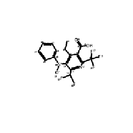 CCc1c(C(=O)O)c(C(F)(F)F)nc(C(F)F)c1[S+]([O-])c1ccccc1